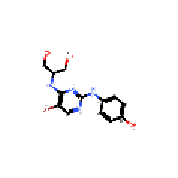 OCC(CO)Nc1nc(Nc2ccc(O)cc2)ncc1Br